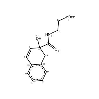 CCCCCCCCCCCCNC(=O)C1(O)C=Cc2ccccc2C1